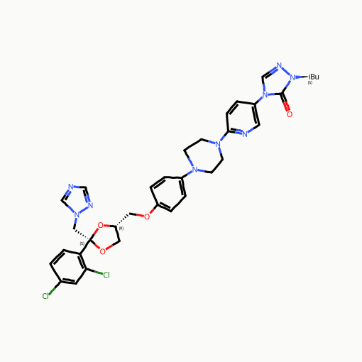 CC[C@H](C)n1ncn(-c2ccc(N3CCN(c4ccc(OC[C@@H]5CO[C@@](Cn6cncn6)(c6ccc(Cl)cc6Cl)O5)cc4)CC3)nc2)c1=O